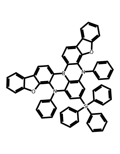 c1ccc(N2c3cc([Si](c4ccccc4)(c4ccccc4)c4ccccc4)cc4c3B(c3ccc5c(oc6ccccc65)c32)c2ccc3c(oc5ccccc53)c2N4c2ccccc2)cc1